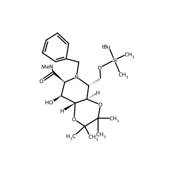 CNC(=O)[C@@H]1[C@H](O)[C@H]2OC(C)(C)C(C)(C)O[C@@H]2[C@@H](CO[Si](C)(C)C(C)(C)C)N1Cc1ccccc1